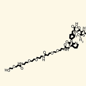 CC1(C)SCN[C@@H]1C(=O)N[C@@H](Cc1ccc(-n2c(=O)n(CC(=O)NCCOCCOCCC(=O)NCCCOCCOCCCNC(=O)CCOCCO)c3cccnc32)cc1)C(=O)O